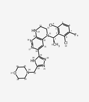 C[C@H](c1c(Cl)ccc(F)c1Cl)N1CCNc2nnc(-c3nnc(CN4CCOCC4)[nH]3)cc21